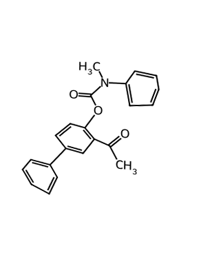 CC(=O)c1cc(-c2ccccc2)ccc1OC(=O)N(C)c1ccccc1